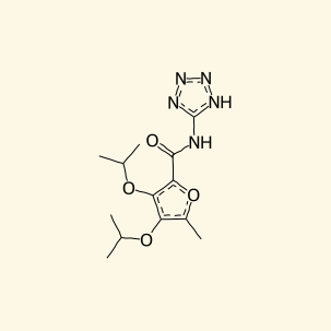 Cc1oc(C(=O)Nc2nnn[nH]2)c(OC(C)C)c1OC(C)C